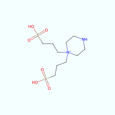 O=S(=O)(O)CCC[N+]1(CCCS(=O)(=O)O)CCNCC1